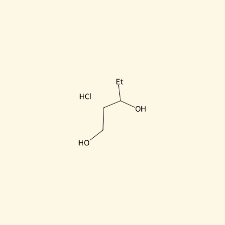 CCC(O)CCO.Cl